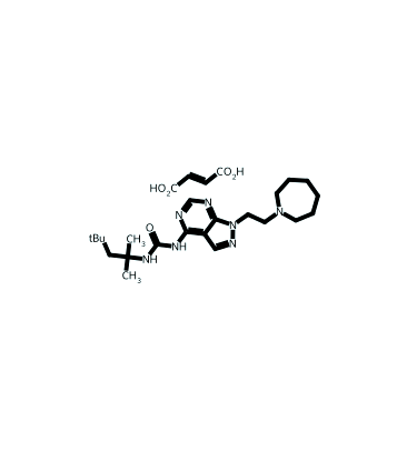 CC(C)(C)CC(C)(C)NC(=O)Nc1ncnc2c1cnn2CCN1CCCCCC1.O=C(O)C=CC(=O)O